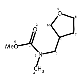 COC(=O)N(C)CC1CCOC1